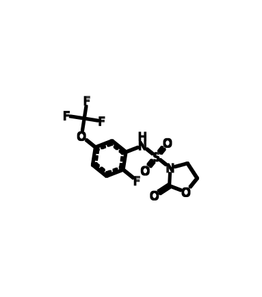 O=C1OCCN1S(=O)(=O)Nc1cc(OC(F)(F)F)ccc1F